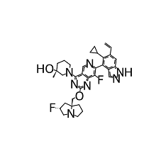 C=Cc1cc2[nH]ncc2c(-c2ncc3c(N4CCC[C@@](C)(O)C4)nc(OC[C@@]45CCCN4C[C@H](F)C5)nc3c2F)c1C1CC1